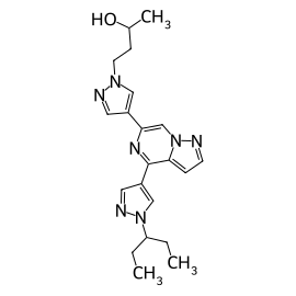 CCC(CC)n1cc(-c2nc(-c3cnn(CCC(C)O)c3)cn3nccc23)cn1